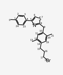 Cc1ccc(-c2csc(Cc3cc(C)c(CCCBr)cc3C)n2)cc1